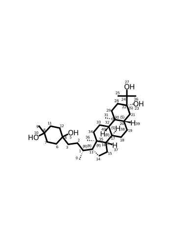 C[C@H](CCC1(O)CCC(C)(O)CC1)[C@H]1CC[C@H]2[C@@H]3CC[C@H]4C[C@](O)(C(C)(C)O)CC[C@]4(C)[C@H]3CC[C@]12C